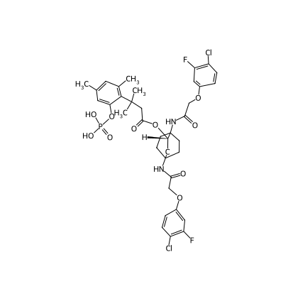 Cc1cc(C)c(C(C)(C)CC(=O)O[C@H]2CC3(NC(=O)COc4ccc(Cl)c(F)c4)CCC2(NC(=O)COc2ccc(Cl)c(F)c2)CC3)c(OP(=O)(O)O)c1